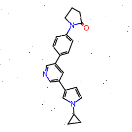 O=C1CCCN1c1ccc(-c2cncc(-c3ccn(C4CC4)c3)c2)cc1